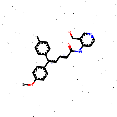 CCOc1ccc(/C(=C/C=C/C(=O)Nc2ccncc2CO)c2ccc(C(F)(F)F)cc2)cc1